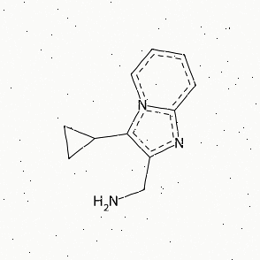 NCc1nc2ccccn2c1C1CC1